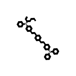 C=C/C(=C\C=C/C)N(c1ccccc1)c1ccc(/C=C/c2ccc(/C=C/c3ccc(N(c4ccccc4)c4ccccc4)cc3)cc2)cc1